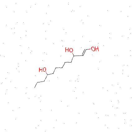 CCCC(O)CCCCCC(O)C=CO